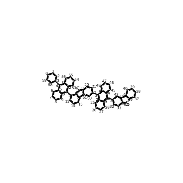 c1ccc(-c2c3ccccc3c(-c3cccc4c3sc3ccc(-c5c6ccccc6c(-c6ccc7sc8ccccc8c7c6)c6ccccc56)cc34)c3ccccc23)cc1